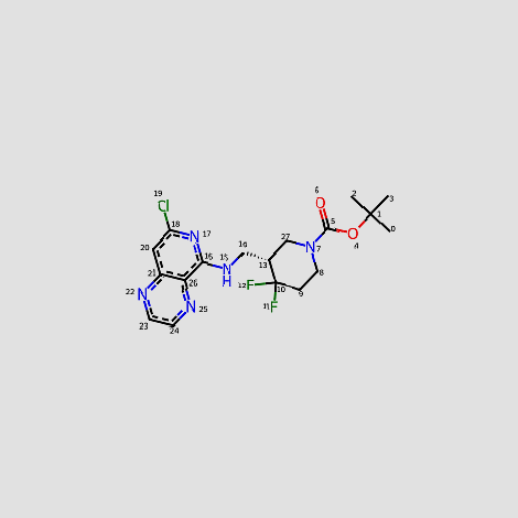 CC(C)(C)OC(=O)N1CCC(F)(F)[C@H](CNc2nc(Cl)cc3nccnc23)C1